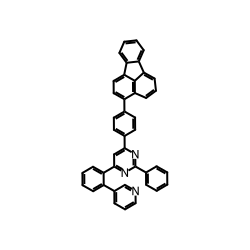 c1ccc(-c2nc(-c3ccc(-c4ccc5c6c(cccc46)-c4ccccc4-5)cc3)cc(-c3ccccc3-c3cccnc3)n2)cc1